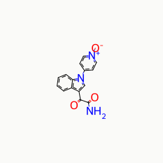 NC(=O)C(=O)c1cn(-c2cc[n+]([O-])cc2)c2ccccc12